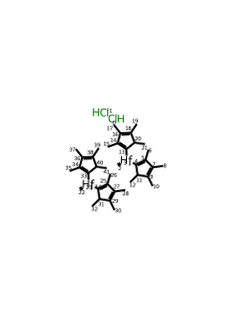 Cl.Cl.[CH2]=[Hf]([C]1=C(C)C(C)=C(C)C1C)[C]1=C(C)C(C)=C(C)C1C.[CH2]=[Hf]([C]1=C(C)C(C)=C(C)C1C)[C]1=C(C)C(C)=C(C)C1C